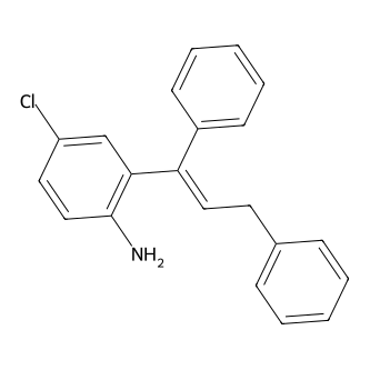 Nc1ccc(Cl)cc1C(=CCc1ccccc1)c1ccccc1